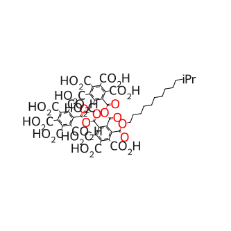 CC(C)CCCCCCCCCCOC(=O)c1c(C(=O)O)c(C(=O)O)c(C(=O)O)c(C(=O)OC(=O)c2c(C(=O)O)c(C(=O)O)c(C(=O)O)c(C(=O)O)c2C(=O)O)c1C(=O)OC(=O)c1c(C(=O)O)c(C(=O)O)c(C(=O)O)c(C(=O)O)c1C(=O)O